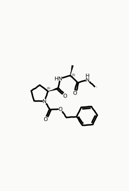 [CH2]NC(=O)[C@H](C)NC(=O)[C@@H]1CCCN1C(=O)OCc1ccccc1